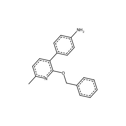 Cc1ccc(-c2ccc(N)cc2)c(OCc2ccccc2)n1